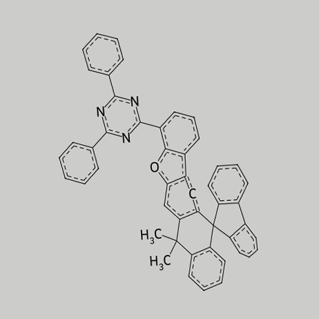 CC1(C)c2ccccc2C2(c3ccccc3-c3ccccc32)c2cc3c(cc21)oc1c(-c2nc(-c4ccccc4)nc(-c4ccccc4)n2)cccc13